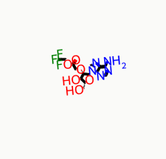 Nc1ncnc2c1ncn2[C@@H]1O[C@H](CO)C(O)[C@@H]1OCC(=O)OCC(F)(F)F